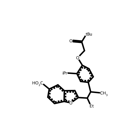 CCC(c1cc2cc(C(=O)O)ccc2o1)C(C)c1ccc(OCC(=O)C(C)(C)C)c(C(C)C)c1